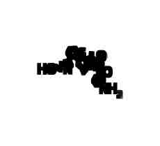 COc1cc(C(=O)N2CCC[C@@H](N)C2)cn2nc(-c3sc4cccc(-c5cnn(CCO)c5)c4c3CC3CC3)c(C)c12